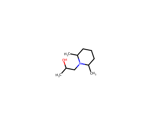 CC(O)CN1C(C)CCCC1C